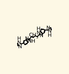 C/C(=C\CCc1nc2cc(-c3ncc[nH]3)ccc2[nH]1)c1nc2cc(-c3ncc[nH]3)ccc2[nH]1